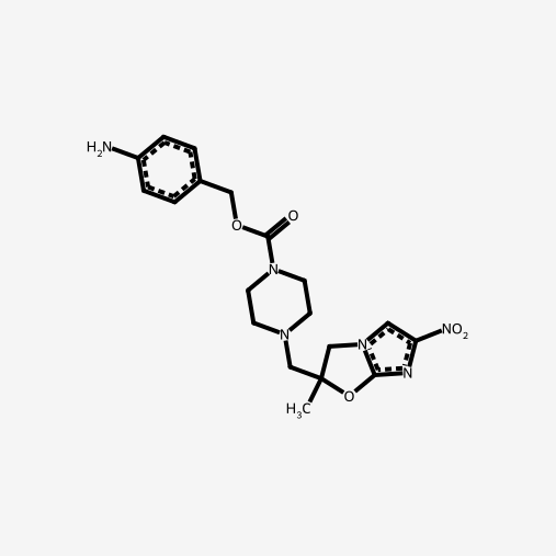 CC1(CN2CCN(C(=O)OCc3ccc(N)cc3)CC2)Cn2cc([N+](=O)[O-])nc2O1